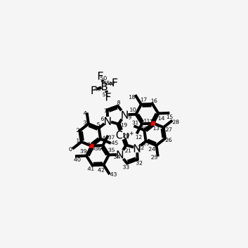 Cc1cc(C)c(-n2ccn(-c3c(C)cc(C)cc3C)[c]2=[Cu+]=[c]2n(-c3c(C)cc(C)cc3C)ccn2-c2c(C)cc(C)cc2C)c(C)c1.F[B-](F)(F)F